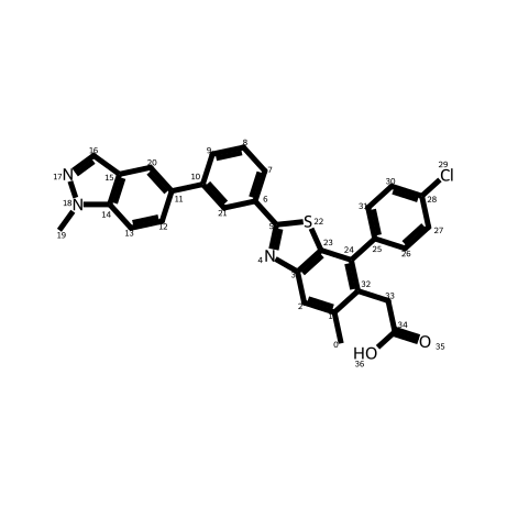 Cc1cc2nc(-c3cccc(-c4ccc5c(cnn5C)c4)c3)sc2c(-c2ccc(Cl)cc2)c1CC(=O)O